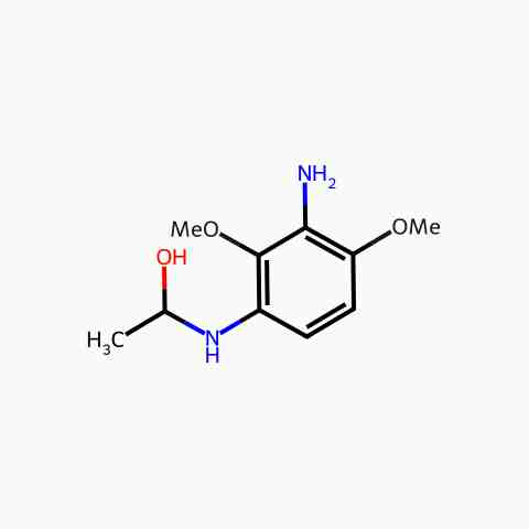 COc1ccc(NC(C)O)c(OC)c1N